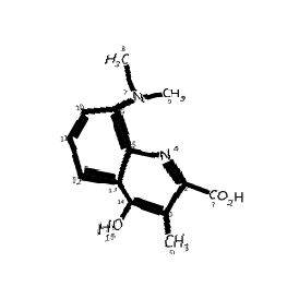 Cc1c(C(=O)O)nc2c(N(C)C)cccc2c1O